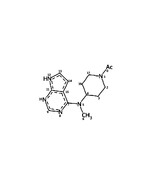 CC(=O)N1CCC(N(C)c2ncnc3[nH]ccc23)CC1